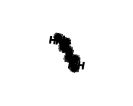 CC1(C)c2cc3c(cc2-c2cc4c(cc21)-c1c(cc(-c2nc5ccccc5[nH]2)c2ccccc12)C4(C)C)C(C)(C)c1cc(-c2nc4ccccc4[nH]2)c2ccccc2c1-3